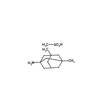 CC12CC3CC(C)(C1)CC(N)(C3)C2.CS(=O)(=O)O